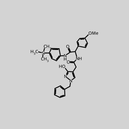 COc1ccc(C(NC(=O)Cc2cn(Cc3ccccc3)nc2O)C(=O)Nc2ccc([Si](C)(C)C)cc2)cc1